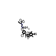 C=C/C(=C\C=C(/N)Oc1ccc([C@H](C)[C@](O)(c2cc(C)c(C#N)c(C)c2)C(F)(F)F)c(Cl)c1)C(=O)OC